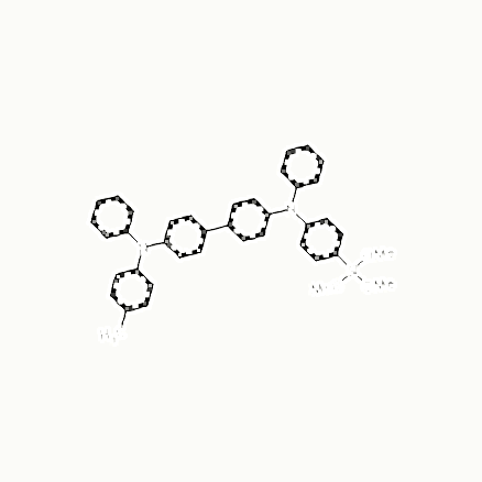 CO[Si](OC)(OC)c1ccc(N(c2ccccc2)c2ccc(-c3ccc(N(c4ccccc4)c4ccc(C)cc4)cc3)cc2)cc1